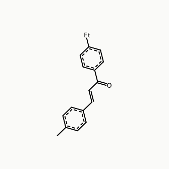 CCc1ccc(C(=O)/C=C/c2ccc(C)cc2)cc1